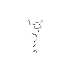 CCCCCC(=O)Cc1cc(N=O)cc(=O)o1